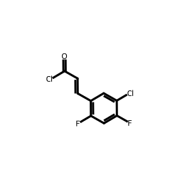 O=C(Cl)C=Cc1cc(Cl)c(F)cc1F